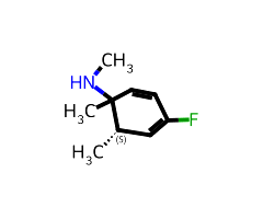 CNC1(C)C=CC(F)=C[C@@H]1C